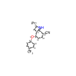 CC(C)c1cc2c(Oc3ccc(C(F)(F)F)cc3)ccc(C#N)c2[nH]1